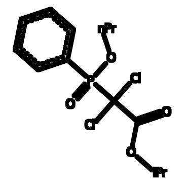 CCCOP(=O)(c1ccccc1)C(Cl)(Cl)C(=O)OC(C)C